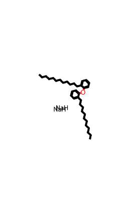 CCCCCCCCCCCCc1ccccc1Oc1ccccc1CCCCCCCCCCCC.[NaH].[NaH]